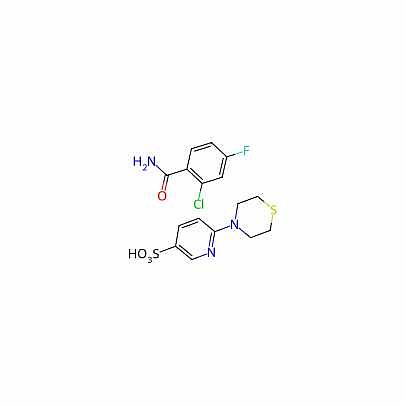 NC(=O)c1ccc(F)cc1Cl.O=S(=O)(O)c1ccc(N2CCSCC2)nc1